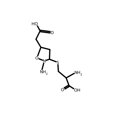 NC(CSC1CC(CC(=O)O)ON1N)C(=O)O